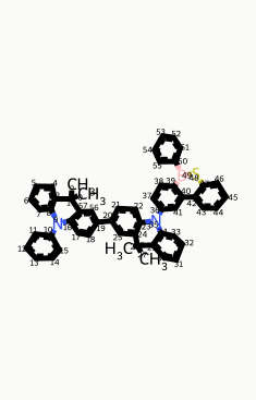 CC1(C)c2ccccc2N(c2ccccc2)c2ccc(-c3ccc4c(c3)C(C)(C)c3ccccc3N4c3ccc4c(c3)-c3ccccc3SB4c3ccccc3)cc21